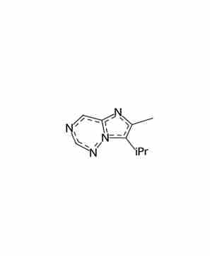 Cc1nc2cncnn2c1C(C)C